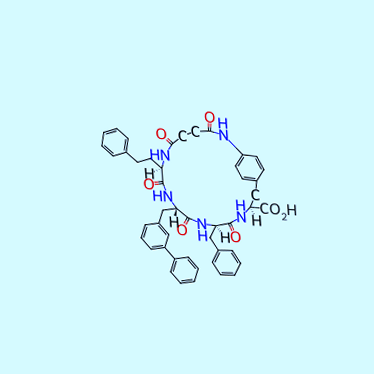 O=C1CCC(=O)N[C@H](CCc2ccccc2)C(=O)N[C@@H](Cc2cccc(-c3ccccc3)c2)C(=O)N[C@H](Cc2ccccc2)C(=O)N[C@H](C(=O)O)Cc2ccc(cc2)N1